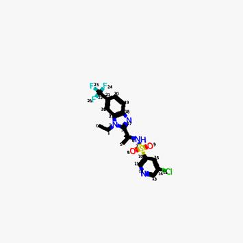 CCn1c(C(C)NS(=O)(=O)c2cncc(Cl)c2)nc2ccc(C(F)(F)F)cc21